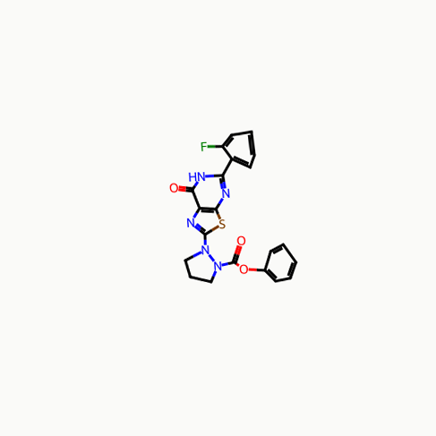 O=C(Oc1ccccc1)N1CCCN1c1nc2c(=O)[nH]c(-c3ccccc3F)nc2s1